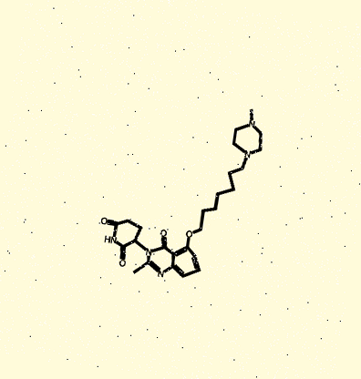 Cc1nc2cccc(OCCCCCCCN3CCN(C)CC3)c2c(=O)n1C1CCC(=O)NC1=O